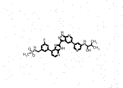 CC(C)C(O)Nc1cncc(-c2cnc3[nH]nc(-c4nc5c(-c6cc(F)cc(CNS(C)(=O)=O)c6)ccnc5[nH]4)c3c2)c1